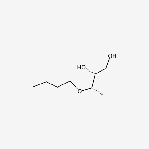 CCCCO[C@@H](C)[C@H](O)CO